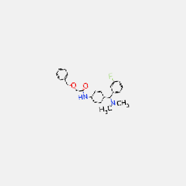 CN(C)C(c1cccc(F)c1)C1CCC(NC(=O)COCc2ccccc2)CC1